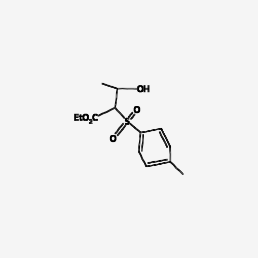 CCOC(=O)C(C(C)O)S(=O)(=O)c1ccc(C)cc1